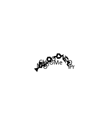 COc1c(CNC(=O)c2cc(C3CC3)nn2C)cccc1OCc1ccc(CN2CCN(C(=O)CC(C)C)CC2)cc1